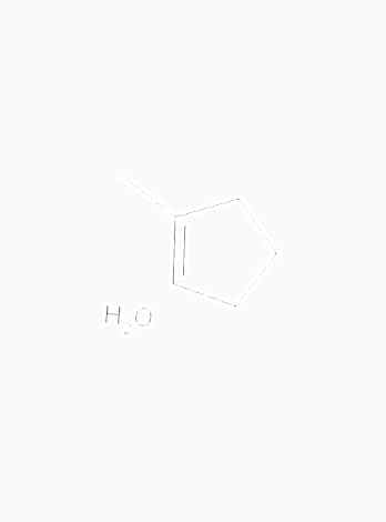 CC1=CCCC1.O